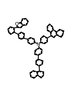 c1ccc(-c2cc3ccccc3o2)c(-c2ccc(-c3ccc(N(c4ccc(-c5ccc(-c6cccc7ccccc67)cc5)cc4)c4ccc(-c5cc6ccccc6c6ccccc56)cc4)cc3)cc2)c1